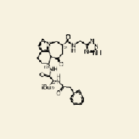 CC[C@H](C)[C@H](NC(=O)Cc1ccccc1)C(=O)N[C@H]1CCc2ccn3c2C1C(=O)C[C@H](C(=O)NCc1nn[nH]n1)C3